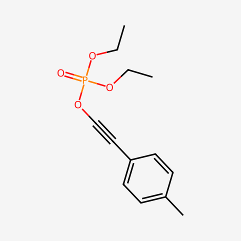 CCOP(=O)(OC#Cc1ccc(C)cc1)OCC